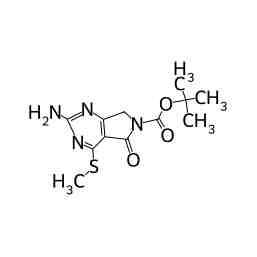 CSc1nc(N)nc2c1C(=O)N(C(=O)OC(C)(C)C)C2